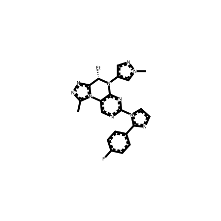 CC[C@H]1c2nnc(C)n2-c2cnc(-n3ccnc3-c3ccc(F)cc3)nc2N1c1cnn(C)c1